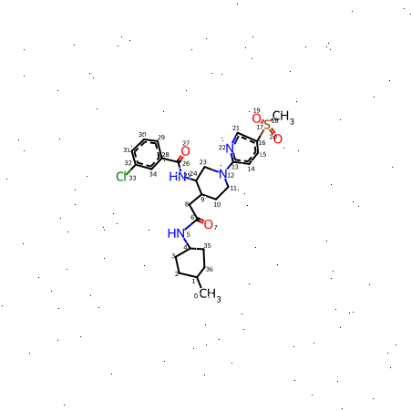 CC1CCC(NC(=O)CC2CCN(c3ccc(S(C)(=O)=O)cn3)CC2NC(=O)c2cccc(Cl)c2)CC1